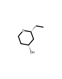 CC[C@@H]1C[C@H](O)CCO1